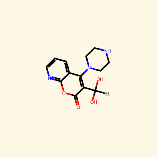 CCC(O)(O)c1c(N2CCNCC2)c2cccnc2oc1=O